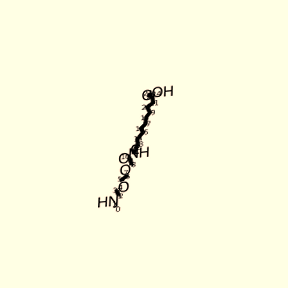 CNCCOCCOCC(=O)NCCCCCCCCCCC(=O)O